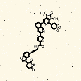 Cn1c(=O)n(C)c2c(C3CCS(=O)(=O)CC3)nc(-c3cccc4cc(-c5ccc(C(=O)NCC#Cc6ccc7occ(C8CCC(=O)NC8=O)c7c6)nc5)ncc34)cc21